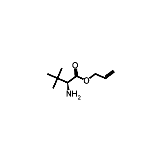 C=CCOC(=O)[C@@H](N)C(C)(C)C